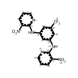 O=[N+]([O-])c1cccnc1Nc1cc(Nc2ncccc2[N+](=O)[O-])cc(C(F)(F)F)c1